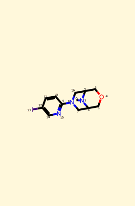 CN1C2COCC1CN(c1ccc(I)cn1)C2